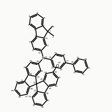 CC1(C)c2ccccc2-c2ccc(N(c3ccc(-c4ccccc4)cc3)c3ccc4c(c3)C3(c5ccccc5-c5ccc(Cl)cc53)c3ccccc3-4)cc21